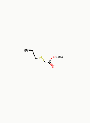 CC(C)CCSCC(=O)OC(C)(C)C